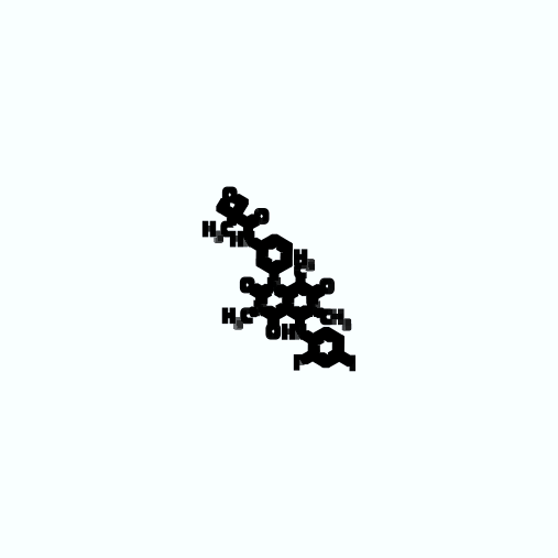 Cc1c(=O)n(C)c(Nc2ccc(I)cc2F)c2c(=O)n(C)c(=O)n(-c3cccc(NC(=O)C4(C)COC4)c3)c12